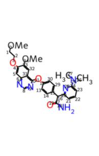 COCCOc1cc2ncnc(Oc3ccc(C(C(N)=O)c4cccc(N(C)C)n4)cc3)c2cc1OC